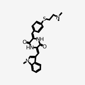 CN(C)CCSc1ccc(/C=c2\[nH]c(=O)/c(=C/c3cn(C)c4ccccc34)[nH]c2=O)cc1